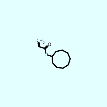 C=CC(=O)OC1CCCCCCCC1